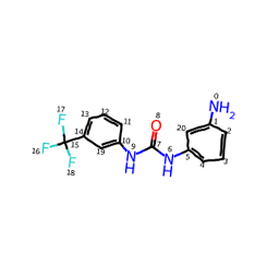 Nc1cccc(NC(=O)Nc2cccc(C(F)(F)F)c2)c1